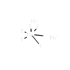 [F][Ni-2]([F])([F])([F])([F])[F].[Rb+].[Rb+]